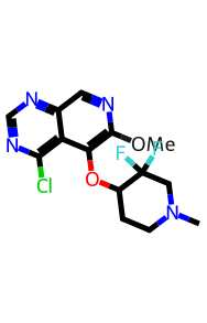 COc1ncc2ncnc(Cl)c2c1OC1CCN(C)CC1(F)F